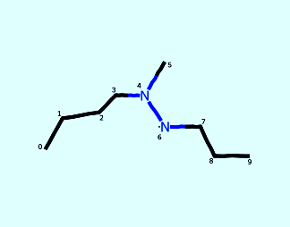 CCCCN(C)[N]CCC